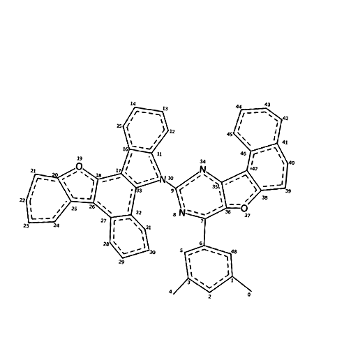 Cc1cc(C)cc(-c2nc(-n3c4ccccc4c4c5oc6ccccc6c5c5ccccc5c43)nc3c2oc2ccc4ccccc4c23)c1